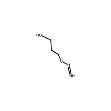 N=NOCCCO